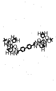 CC(C)(C)OC(=O)NC(C(=O)N1[C@@H]2C[C@@H]2C[C@H]1c1nc(-c2ccc(-c3ccc(-c4c[nH]c([C@@H]5C[C@H]6C[C@H]6N5C(=O)C(NC(=O)OC(C)(C)C)[C@H]5C[C@@H]6C[C@@H]6C5)n4)cc3)cc2)c[nH]1)[C@H]1C[C@@H]2C[C@@H]2C1